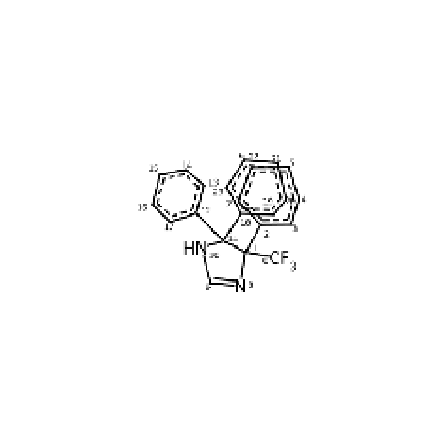 FC(F)(F)C1(c2ccccc2)N=[C]NC1(c1ccccc1)c1ccccc1